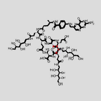 C[C@H](CCC(=O)N[C@@H](CCC(=O)NC[C@H](O)[C@@H](O)[C@H](O)[C@H](O)CO)C(=O)N[C@@H](CCC(=O)O)C(=O)N[C@@H](CCC(=O)NC[C@H](O)[C@@H](O)[C@H](O)[C@H](O)CO)C(=O)N[C@@H](CCC(=O)O)C(=O)N[C@@H](CCC(=O)NC[C@H](O)[C@@H](O)[C@H](O)[C@H](O)CO)C(=O)N[C@H](CS)C(=O)O)NC(=O)c1ccc(NCc2cnc3nc(N)[nH]c(=O)c3n2)cc1